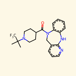 CC(C)(N1CCC(C(=O)N2Cc3cccnc3Nc3ccccc32)CC1)C(F)(F)F